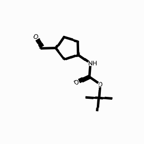 CC(C)(C)OC(=O)NC1CCC([C]=O)C1